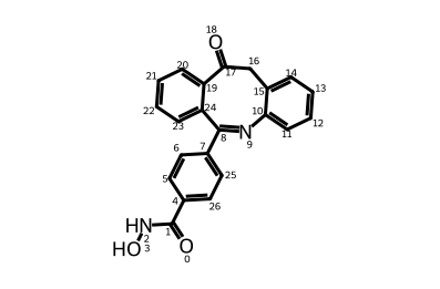 O=C(NO)c1ccc(/C2=N/c3ccccc3CC(=O)c3ccccc32)cc1